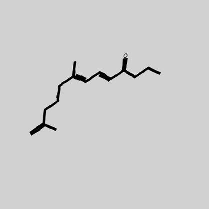 C=C(C)CCCC(C)=CC=CC(=O)CCC